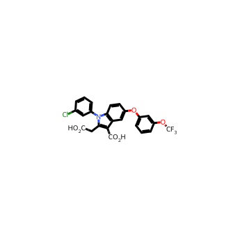 O=C(O)Cc1c(C(=O)O)c2cc(Oc3cccc(OC(F)(F)F)c3)ccc2n1-c1cccc(Cl)c1